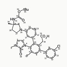 Cn1ccn(-c2c(F)cc(-c3cccc(Cl)c3)c(CC(=O)O)c2-c2cncc(N3CC[C@](C)(NC(=O)OC(C)(C)C)C3)c2)c1=O